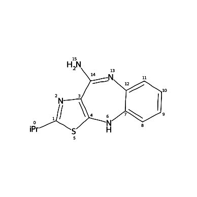 CC(C)c1nc2c(s1)Nc1ccccc1N=C2N